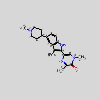 Cc1nc(-c2[nH]c3ccc(C4CCN(C)CC4)cc3c2C(C)C)cn(C)c1=O